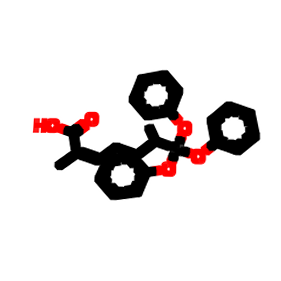 CC(=CCCC(C)[Si](Oc1ccccc1)(Oc1ccccc1)Oc1ccccc1)C(=O)O